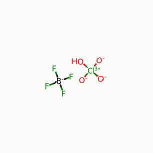 F[B-](F)(F)F.[O-][Cl+3]([O-])([O-])O